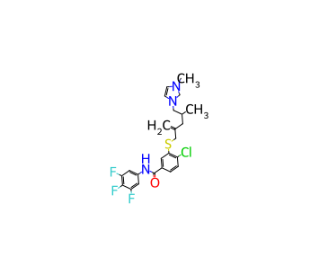 C=C(CSc1cc(C(=O)Nc2cc(F)c(F)c(F)c2)ccc1Cl)CC(C)CN1C=CN(C)C1